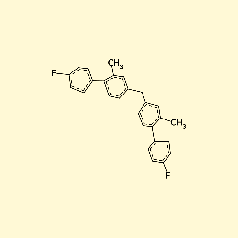 Cc1cc(Cc2ccc(-c3ccc(F)cc3)c(C)c2)ccc1-c1ccc(F)cc1